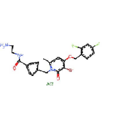 Cc1cc(OCc2ccc(F)cc2F)c(Br)c(=O)n1Cc1ccc(C(=O)NCCN)cc1.Cl